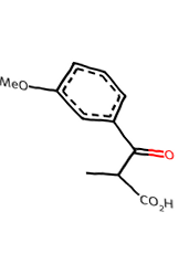 COc1cccc(C(=O)C(C)C(=O)O)c1